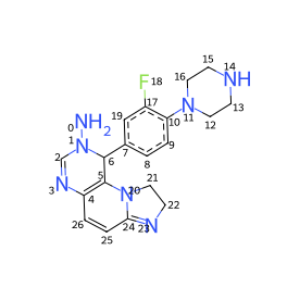 NN1C=NC2=C(C1c1ccc(N3CCNCC3)c(F)c1)N1CCN=C1C=C2